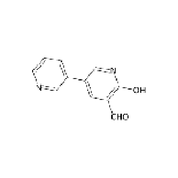 O=Cc1cc(-c2cccnc2)cnc1O